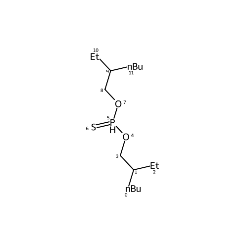 CCCCC(CC)CO[PH](=S)OCC(CC)CCCC